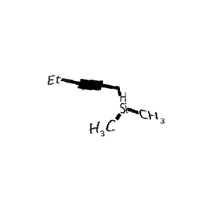 CCC#CC[SiH](C)C